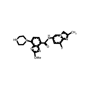 COc1nc2c(C(=O)Nc3cc(F)c4nc(C)cn4c3)ccc(N3CCNCC3)c2s1